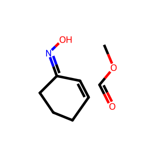 COC=O.ON=C1C=CCCC1